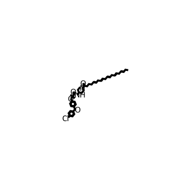 CCC=CCC=CCC=CCC=CCC=CCCCC(=O)N1CCC(NC(=O)C(C)(C)Oc2ccc(C(=O)c3ccc(Cl)cc3)cc2)CC1